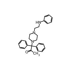 CC(=O)C(c1ccccc1)(c1ccccc1)N1CCN(CCNc2ccccc2)CC1